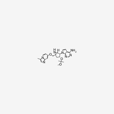 COC(C)(C)O[C@@H]1C[C@]2(COc3ccn4c(C)cnc4c3)N[C@@H]2[C@H]1n1ccc2c(N)ncnc21